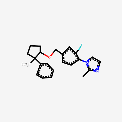 CCOC(=O)C1(c2ccccc2)CCCC1OCc1ccc(-n2ccnc2C)c(F)c1